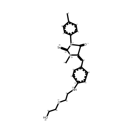 Cc1ccc(N2C(=O)C(=Cc3ccc(NCCOCCO)cc3)N(C)C2=[Se])cc1